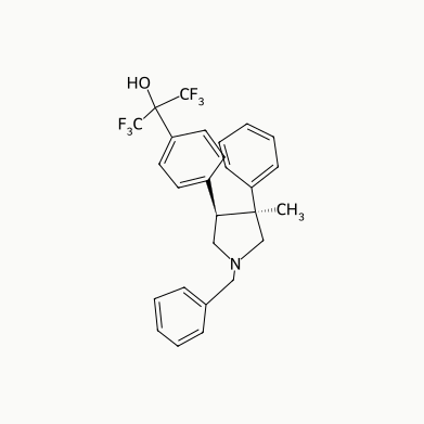 C[C@]1(c2ccccc2)CN(Cc2ccccc2)C[C@H]1c1ccc(C(O)(C(F)(F)F)C(F)(F)F)cc1